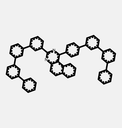 c1ccc(-c2cccc(-c3cccc(-c4ccc(-c5nc(-c6cccc(-c7cccc(-c8cccc(-c9ccccc9)c8)c7)c6)nc6ccc7ccccc7c56)cc4)c3)c2)cc1